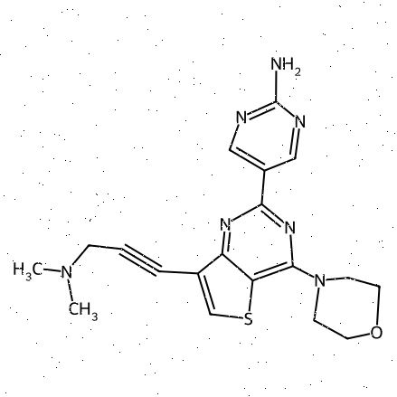 CN(C)CC#Cc1csc2c(N3CCOCC3)nc(-c3cnc(N)nc3)nc12